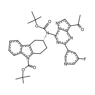 CC(=O)c1cnn2c(N(C(=O)OC(C)(C)C)[C@@H]3CCc4c(c5ccccc5n4C(=O)OC(C)(C)C)C3)nc(-c3cncc(F)c3)nc12